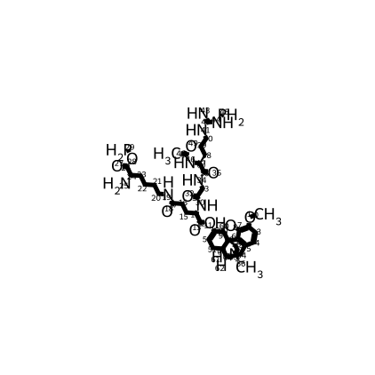 COc1ccc2c3c1O[C@H]1C(OC(=O)C(CCC(=O)NCCCCC(N)C(=O)OP)NC(=O)CNC(=O)[C@H](CCCNC(=N)NP)NC(C)=O)=CC[C@H]4[C@@H](C2)N(C)CC[C@]314